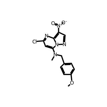 COc1ccc(CN(C)c2cc(Cl)nc3c([N+](=O)[O-])cnn23)cc1